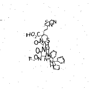 O=C(O)C1=C(/C=C/c2csc3cncn23)CS[C@@H]2[C@H](NC(=O)/C(=N\OCF)c3nsc(NC(c4ccccc4)(c4ccccc4)c4ccccc4)n3)C(=O)N12